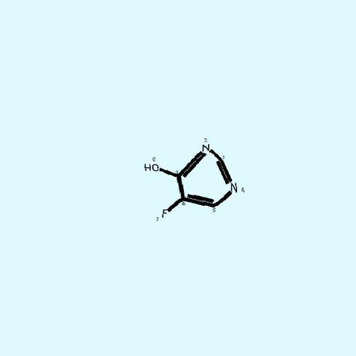 Oc1ncncc1F